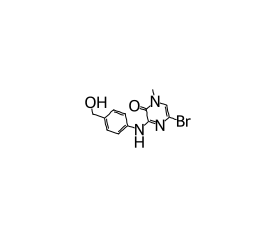 Cn1cc(Br)nc(Nc2ccc(CO)cc2)c1=O